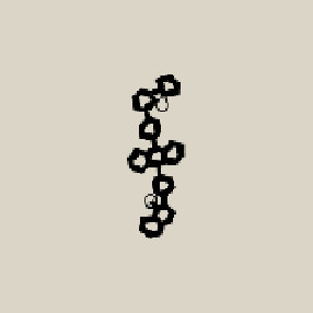 c1ccc2c(c1)ccc1c3ccc(-c4c5ccccc5c(-c5ccc(-c6cccc7c6oc6ccccc67)cc5)c5ccccc45)cc3oc21